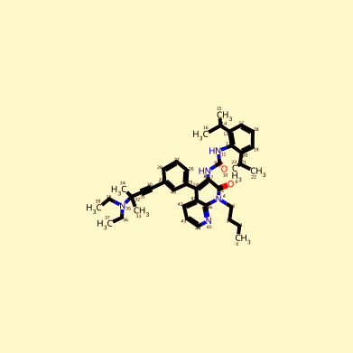 CCCCn1c(=O)c(NC(=O)Nc2c(C(C)C)cccc2C(C)C)c(-c2cccc(C#CC(C)(C)N(CC)CC)c2)c2cccnc21